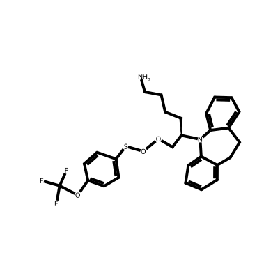 NCCCC[C@H](COOSc1ccc(OC(F)(F)F)cc1)N1c2ccccc2CCc2ccccc21